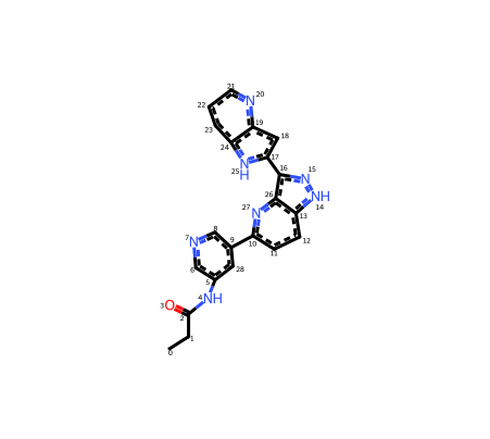 CCC(=O)Nc1cncc(-c2ccc3[nH]nc(-c4cc5ncccc5[nH]4)c3n2)c1